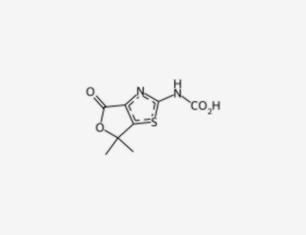 CC1(C)OC(=O)c2nc(NC(=O)O)sc21